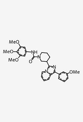 COc1cccc(-c2nc(C3CCCN(C(=O)Nc4cc(OC)c(OC)c(OC)c4)C3)n3ccccc23)c1